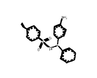 Cc1ccc(S(=O)(=O)NN(c2ccccc2)c2ccc(N)cc2)cc1